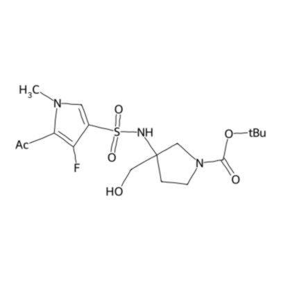 CC(=O)c1c(F)c(S(=O)(=O)NC2(CO)CCN(C(=O)OC(C)(C)C)C2)cn1C